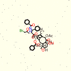 CC(=O)O[C@H]1C(=O)[C@@]2(C)[C@H]([C@H](OC(=O)c3ccccc3)C3C[C@H](OC(=O)[C@H](CC(=O)CBr)[C@@H](NC(=O)c4ccccc4)c4ccccc4)C(C)=C1C3(C)C)[C@]1(OC(C)=O)CO[C@@H]1C[C@@H]2O